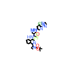 CC(C)(C)OC(=O)N1CCC1c1ncc(N/C(=C(\C=N)C(=O)Nc2cnc(-n3nccn3)c(Cl)c2)C(F)(F)F)c2ccccc12